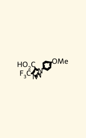 COc1ccc(-n2nnc(C(F)(F)F)c2C(=O)O)cc1